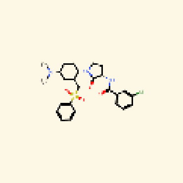 CC(C)N(C)[C@@H]1CC[C@H](N2CC[C@H](NC(=O)c3cccc(Cl)c3)C2=O)[C@@H](CS(=O)(=O)c2ccccc2)C1